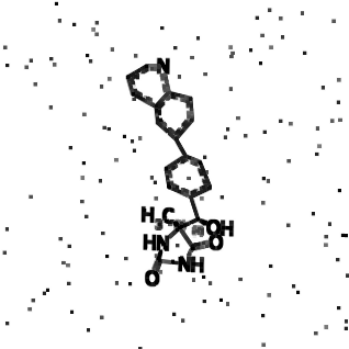 C[C@]1([C@H](O)c2ccc(-c3ccc4ncccc4c3)cc2)NC(=O)NC1=O